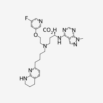 Cn1ncc2c(N[C@@H](CCN(CCCCc3ccc4c(n3)NCCC4)CCOc3cncc(F)c3)C(=O)O)ncnc21